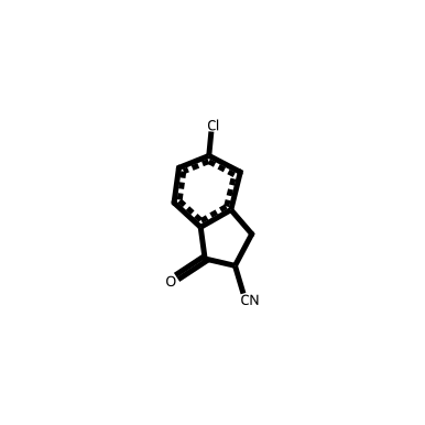 N#CC1Cc2cc(Cl)ccc2C1=O